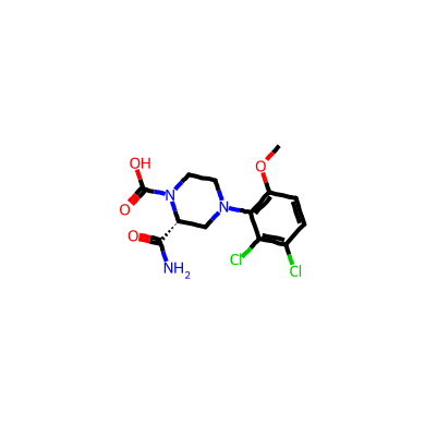 COc1ccc(Cl)c(Cl)c1N1CCN(C(=O)O)[C@@H](C(N)=O)C1